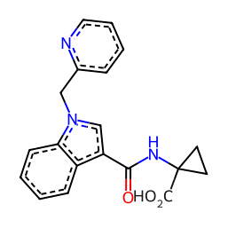 O=C(NC1(C(=O)O)CC1)c1cn(Cc2ccccn2)c2ccccc12